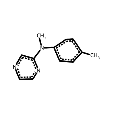 Cc1ccc(N(C)c2cnccn2)cc1